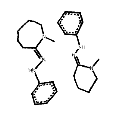 CN1CCCCC1=NNc1ccccc1.CN1CCCCCC1=NNc1ccccc1